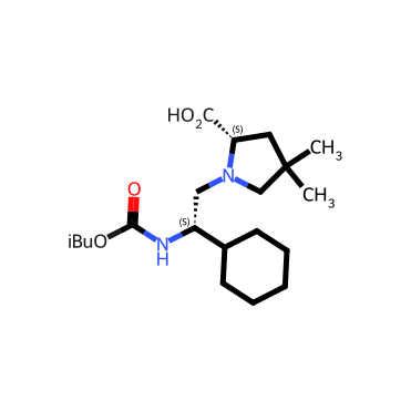 CC(C)COC(=O)N[C@H](CN1CC(C)(C)C[C@H]1C(=O)O)C1CCCCC1